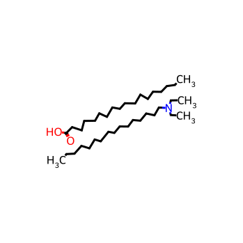 CCCCCCCCCCCCCCCCCC(=O)O.CCCCCCCCCCCCCCCCN(CC)CC